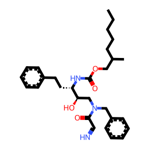 CCCCCC(C)COC(=O)N[C@@H](CCc1ccccc1)[C@H](O)CN(Cc1ccccc1)C(=O)C=N